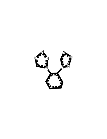 c1ccc(-n2cnnn2)c(-n2cnnn2)c1